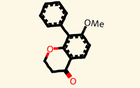 COc1ccc2c(c1-c1ccccc1)OCCC2=O